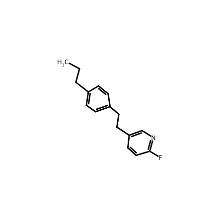 CCCc1ccc(CCc2ccc(F)nc2)cc1